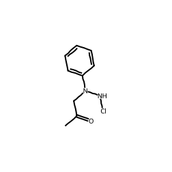 CC(=O)CN(NCl)c1ccccc1